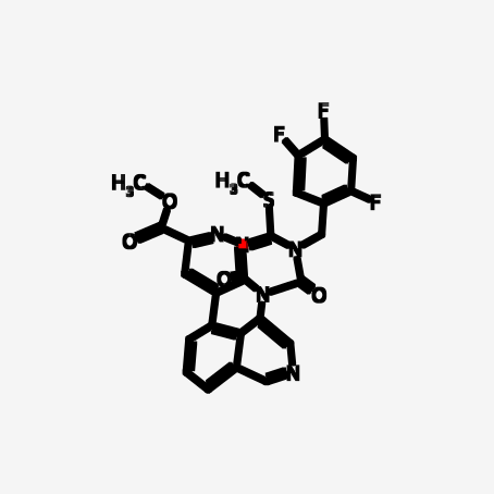 COC(=O)c1cc(-c2cccc3cncc(-n4c(=O)nc(SC)n(Cc5cc(F)c(F)cc5F)c4=O)c23)ccn1